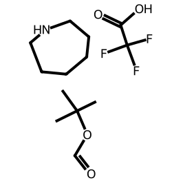 C1CCCNCC1.CC(C)(C)OC=O.O=C(O)C(F)(F)F